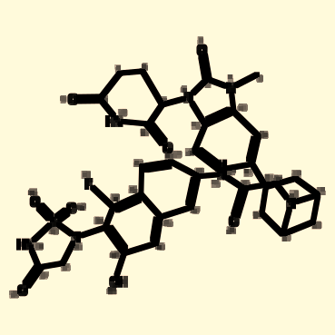 Cn1c(=O)n(C2CCC(=O)NC2=O)c2ccc(C3CC4CC(C3)N4CC(=O)Nc3ccc4c(F)c(N5CC(=O)NS5(=O)=O)c(O)cc4c3)cc21